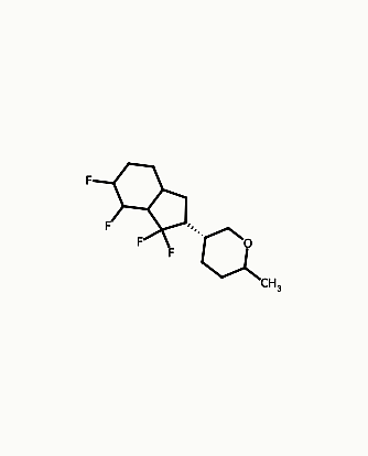 CC1CC[C@H](C2CC3CCC(F)C(F)C3C2(F)F)CO1